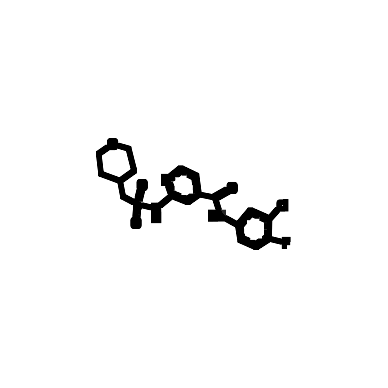 O=C(Nc1ccc(F)c(Cl)c1)c1ccnc(NS(=O)(=O)CC2CCOCC2)c1